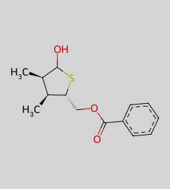 C[C@@H]1[C@@H](COC(=O)c2ccccc2)SC(O)[C@@H]1C